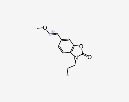 [CH2]CCn1c(=O)oc2cc(/C=C/OC)ccc21